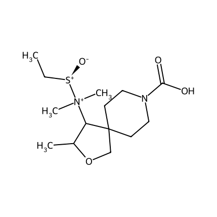 CC[S@@+]([O-])[N+](C)(C)C1C(C)OCC12CCN(C(=O)O)CC2